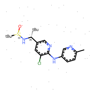 Cc1ccc(Nc2ncc([C@H](N[S@+]([O-])C(C)(C)C)C(C)(C)C)cc2Cl)cn1